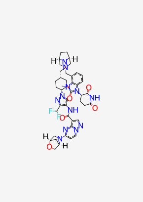 Cn1c(=O)n(C2CCC(=O)NC2=O)c2cccc(CN3C[C@H]4CC[C@@H](C3)N4CC[C@H]3CC[C@H](n4cc(NC(=O)c5cnn6ccc(N7C[C@H]8C[C@@H]7CO8)nc56)c(C(F)F)n4)CC3)c21